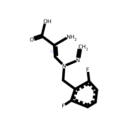 C=NN(/C=C(\N)C(=O)O)Cc1c(F)cccc1F